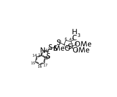 CO[Si](OC)(OC)C(C)CCSSSc1nc2ccccc2s1